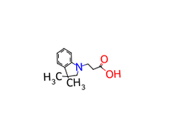 CC1(C)CN(CCC(=O)O)c2ccccc21